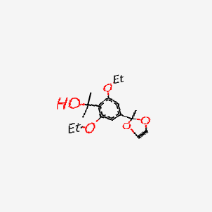 CCOc1cc(C2(C)OCCO2)cc(OCC)c1C(C)(C)O